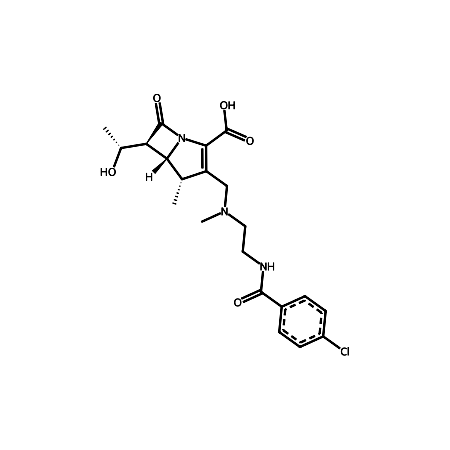 C[C@@H](O)[C@H]1C(=O)N2C(C(=O)O)=C(CN(C)CCNC(=O)c3ccc(Cl)cc3)[C@H](C)[C@H]12